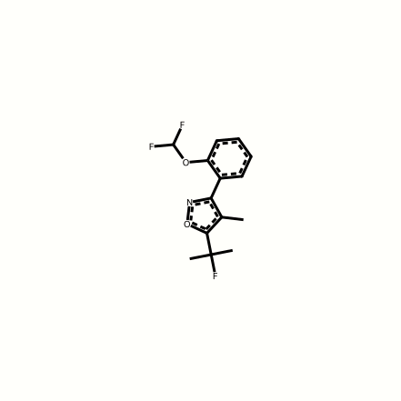 Cc1c(-c2ccccc2OC(F)F)noc1C(C)(C)F